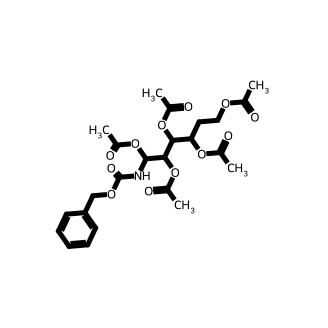 CC(=O)OCCC(OC(C)=O)C(OC(C)=O)C(OC(C)=O)C(NC(=O)OCc1ccccc1)OC(C)=O